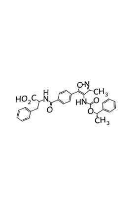 Cc1noc(-c2ccc(C(=O)NC(Cc3ccccc3)C(=O)O)cc2)c1NC(=O)O[C@H](C)c1ccccc1